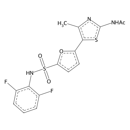 CC(=O)Nc1nc(C)c(-c2ccc(S(=O)(=O)Nc3c(F)cccc3F)o2)s1